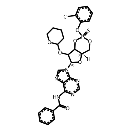 O=C(Nc1ncnc2c1ncn2[C@@H]1O[C@@H]2COP(=S)(Oc3ccccc3Cl)OC2C1OC1CCCCO1)c1ccccc1